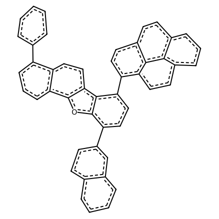 c1ccc(-c2cccc3c2ccc2c3oc3c(-c4ccc5ccccc5c4)ccc(-c4ccc5ccc6cccc7ccc4c5c67)c32)cc1